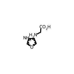 N.NCC(=O)O.c1ccoc1